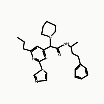 CCCc1cc(C(C(=O)NC(C)CCc2ccccc2)N2CCCCC2)nc(-n2ccnc2)n1